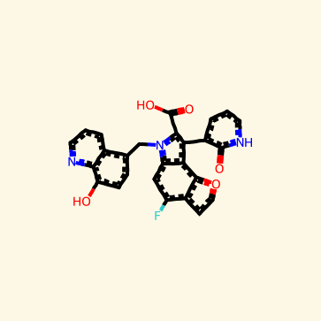 O=C(O)c1c(-c2ccc[nH]c2=O)c2c3occc3c(F)cc2n1Cc1ccc(O)c2ncccc12